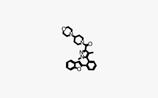 Cc1c(C(=O)N2CCC(N3CCOCC3)CC2)nn(C)c1-c1ccccc1-c1cc2ccccc2o1